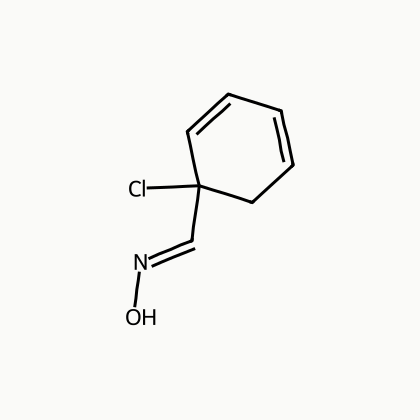 O/N=C/C1(Cl)C=CC=CC1